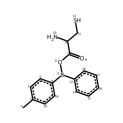 Cc1ccc(B(OC(=O)C(N)CS)c2ccccc2)cc1